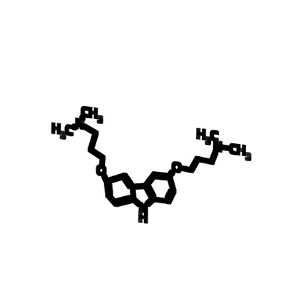 CN(C)CCCOc1ccc2[nH]c3ccc(OCCCN(C)C)cc3c2c1